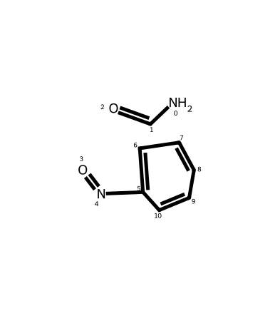 NC=O.O=Nc1ccccc1